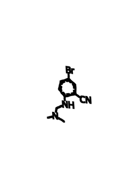 CN(C)CNc1ccc(Br)cc1C#N